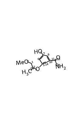 COC[C@H](C)Oc1cc(O)cc(C(N)=O)c1